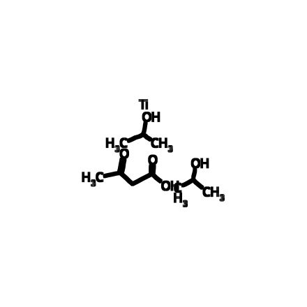 CC(=O)CC(=O)O.CC(C)O.CC(C)O.[Ti]